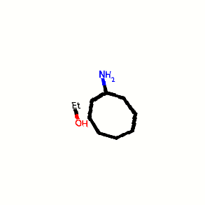 CCO.NC1CCCCCCC1